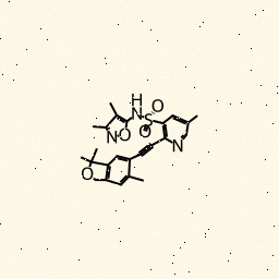 Cc1cnc(C#Cc2cc3c(cc2C)COC3(C)C)c(S(=O)(=O)Nc2onc(C)c2C)c1